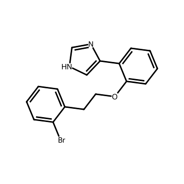 Brc1ccccc1CCOc1ccccc1-c1c[nH]cn1